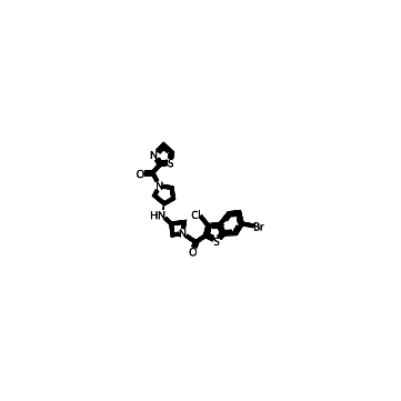 O=C(c1nccs1)N1CC[C@H](NC2CN(C(=O)c3sc4cc(Br)ccc4c3Cl)C2)C1